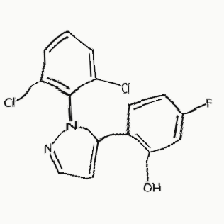 Oc1cc(F)ccc1-c1ccnn1-c1c(Cl)cccc1Cl